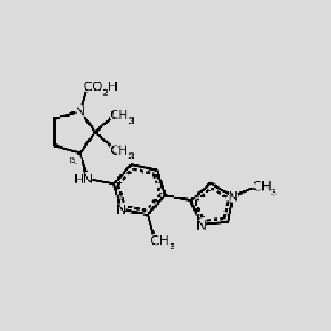 Cc1nc(N[C@H]2CCN(C(=O)O)C2(C)C)ccc1-c1cn(C)cn1